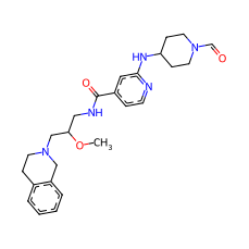 COC(CNC(=O)c1ccnc(NC2CCN(C=O)CC2)c1)CN1CCc2ccccc2C1